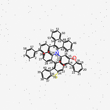 c1ccc(-c2ccc(-c3c(N(c4ccc5c(c4)oc4ccccc45)c4ccccc4-c4cccc5sc6ccccc6c45)c4ccccc4c4ccccc34)cc2)cc1